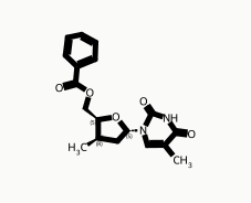 Cc1cn([C@@H]2C[C@@H](C)[C@@H](COC(=O)c3ccccc3)O2)c(=O)[nH]c1=O